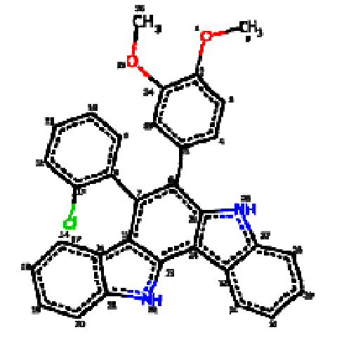 COc1ccc(-c2c(-c3ccccc3Cl)c3c4ccccc4[nH]c3c3c2[nH]c2ccccc23)cc1OC